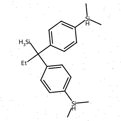 CCC([SiH3])(c1ccc([SiH](C)C)cc1)c1ccc([SiH](C)C)cc1